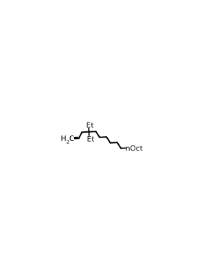 C=CCC(CC)(CC)CCCCCCCCCCCCCC